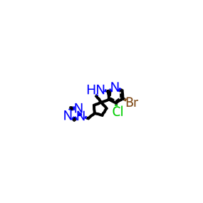 Clc1c(Br)cnc2c1C1(CCC(Cn3cncn3)C1)CN2